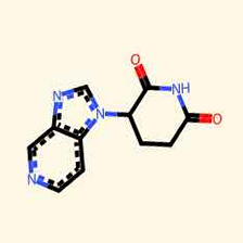 O=C1CCC(n2cnc3cnccc32)C(=O)N1